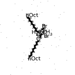 CCCCCCCCC=CCCCCCCCCOCC(C[N+](C)(C)CCBr)OCCCCCCCCC=CCCCCCCCC.[Br-]